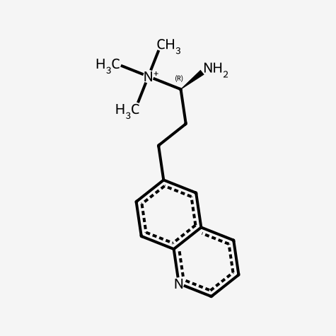 C[N+](C)(C)[C@@H](N)CCc1ccc2ncccc2c1